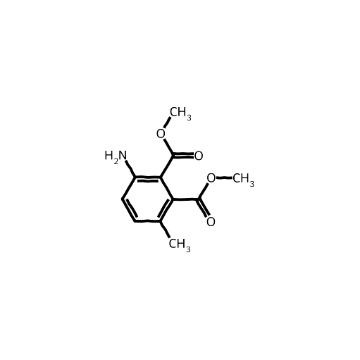 COC(=O)c1c(C)ccc(N)c1C(=O)OC